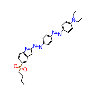 CCCCS(=O)(=O)c1ccc2c(c1)CC(N=Nc1ccc(N=Nc3ccc(N(CC)CC)cc3)cc1)=N2